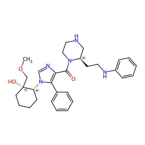 COC[C@]1(O)CCCC[C@H]1n1cnc(C(=O)N2CCNC[C@H]2CCNc2ccccc2)c1-c1ccccc1